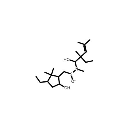 CCC1CC(O)C(C[S+]([O-])N(C)C(O)C(C)(C=C(C)C)CC)C1(C)C